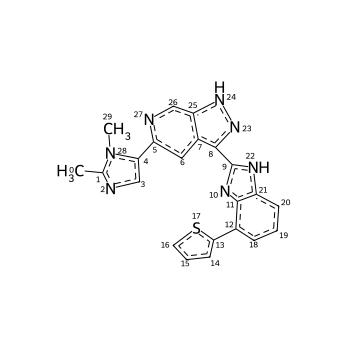 Cc1ncc(-c2cc3c(-c4nc5c(-c6cccs6)cccc5[nH]4)n[nH]c3cn2)n1C